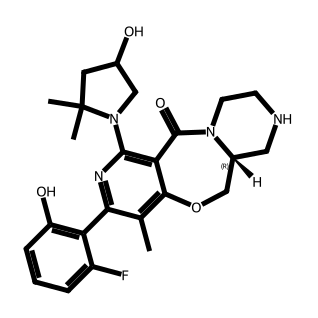 Cc1c(-c2c(O)cccc2F)nc(N2CC(O)CC2(C)C)c2c1OC[C@H]1CNCCN1C2=O